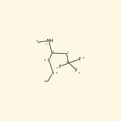 CNC(CC(F)(F)F)SSC